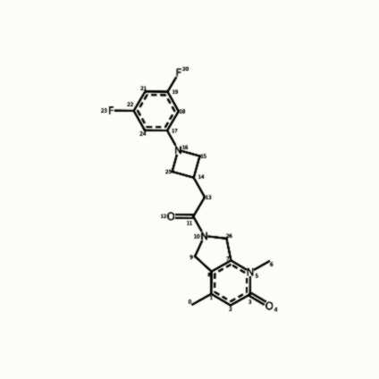 Cc1cc(=O)n(C)c2c1CN(C(=O)CC1CN(c3cc(F)cc(F)c3)C1)C2